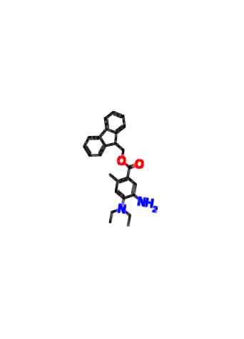 CCN(CC)c1cc(C)c(C(=O)OCC2c3ccccc3-c3ccccc32)cc1N